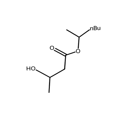 CCCCC(C)OC(=O)CC(C)O